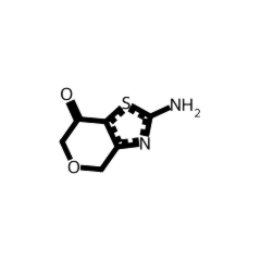 Nc1nc2c(s1)C(=O)COC2